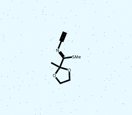 C#C/N=C(\SC)C1(C)OCCO1